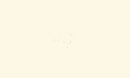 C/C=C/C(=O)OCCCc1ccc(N(c2ccc(C)cc2)c2ccc(C3(c4ccc(N(c5ccc(C)cc5)c5ccc(CCCOC(=O)/C=C/C)cc5)cc4)CCCCC3)cc2)cc1